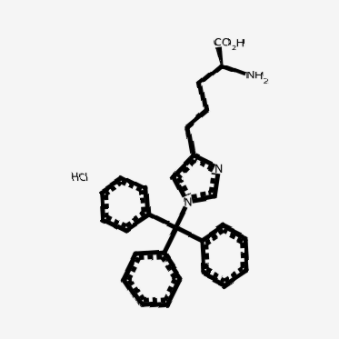 Cl.N[C@@H](CCCc1cn(C(c2ccccc2)(c2ccccc2)c2ccccc2)cn1)C(=O)O